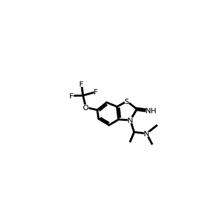 CC(N(C)C)n1c(=N)sc2cc(OC(F)(F)F)ccc21